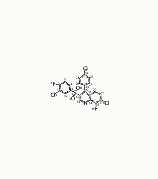 O=S(=O)(c1ccc(F)c(Cl)c1)c1cnc2c(F)c(Cl)ccc2c1-c1ccc(Cl)cc1